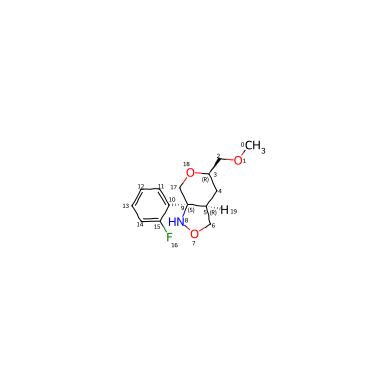 COC[C@H]1C[C@H]2CON[C@@]2(c2ccccc2F)CO1